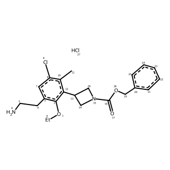 CCOc1c(CCN)cc(Cl)c(C)c1C1CN(C(=O)OCc2ccccc2)C1.Cl